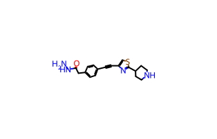 NNC(=O)Cc1ccc(C#Cc2csc(C3CCNCC3)n2)cc1